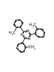 Cc1ccccc1-c1nc(-c2ccccc2C)nc(-c2ccccc2C)n1